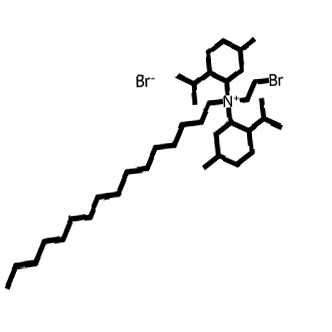 CCCCCCCCCCCCCCCC[N+](CCBr)(C1CC(C)CCC1C(C)C)C1CC(C)CCC1C(C)C.[Br-]